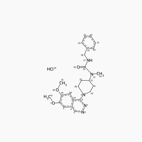 COc1cc2cnnc(N3CCC(N(C)C(=O)NCc4ccccc4)CC3)c2cc1OC.Cl